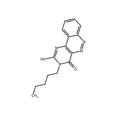 CCCCCn1c(S)nc2c(nnc3ccccc32)c1=O